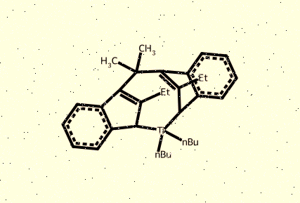 CCC[CH2][Ti]1([CH2]CCC)[CH]2C(CC)=C(c3ccccc32)C(C)(C)C2=C(CC)[CH]1c1ccccc12